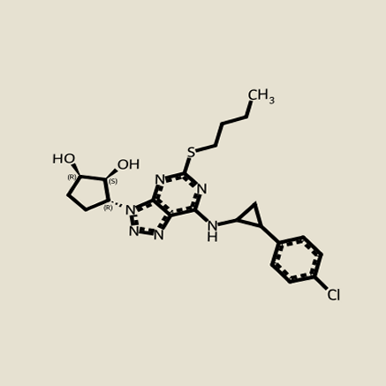 CCCCSc1nc(NC2CC2c2ccc(Cl)cc2)c2nnn([C@@H]3CC[C@@H](O)[C@H]3O)c2n1